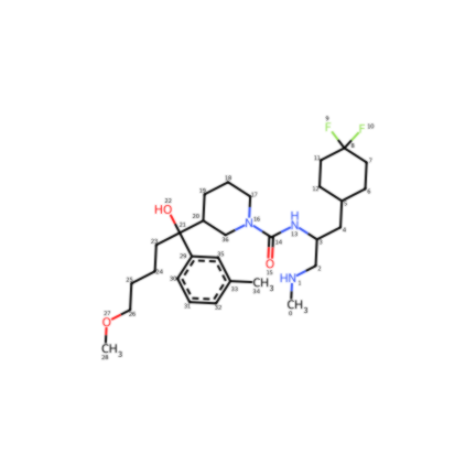 CNCC(CC1CCC(F)(F)CC1)NC(=O)N1CCCC(C(O)(CCCCOC)c2cccc(C)c2)C1